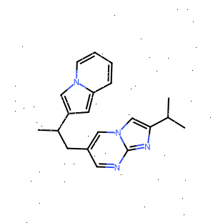 CC(C)c1cn2cc(CC(C)c3cc4ccccn4c3)cnc2n1